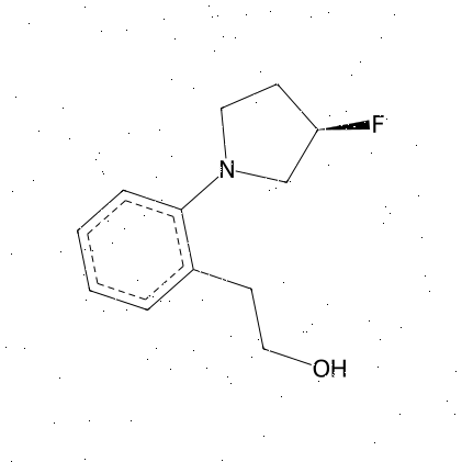 OCCc1ccccc1N1CC[C@@H](F)C1